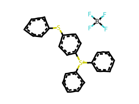 F[B-](F)(F)F.c1ccc(Sc2ccc([S+](c3ccccc3)c3ccccc3)cc2)cc1